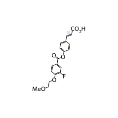 COCCOc1ccc(C(=O)Oc2ccc(/C=C/C(=O)O)cc2)cc1F